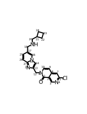 O=c1c2cnc(Cl)cc2ccn1Cc1cn2cc(CNCC3CCC3)ccc2n1